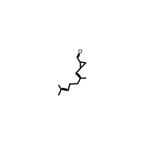 CC(C)=CCC/C(C)=C/C1C[C]1C=O